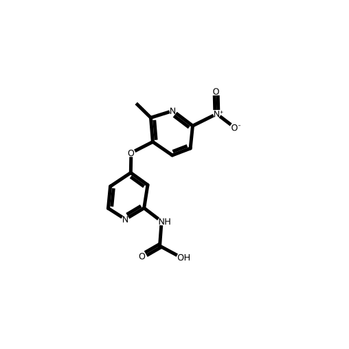 Cc1nc([N+](=O)[O-])ccc1Oc1ccnc(NC(=O)O)c1